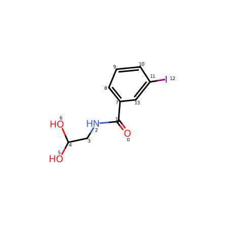 O=C(NCC(O)O)c1cccc(I)c1